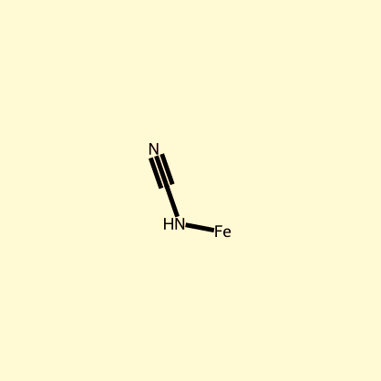 N#C[NH][Fe]